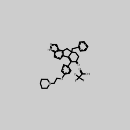 O=C(O)C(F)(F)F.O=C1CCC2(Cc3ccccc3)Cc3c(ccc4[nH]ncc34)C2=C1c1ccc(OCCN2CCCCC2)cc1